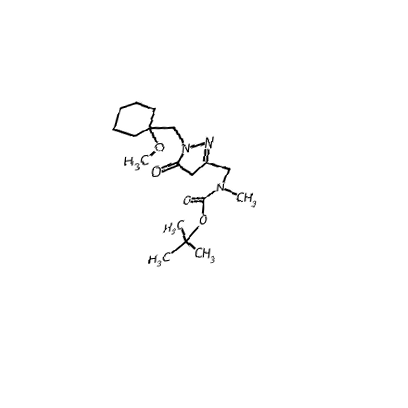 COC1(CN2N=C(CN(C)C(=O)OC(C)(C)C)CC2=O)CCCCC1